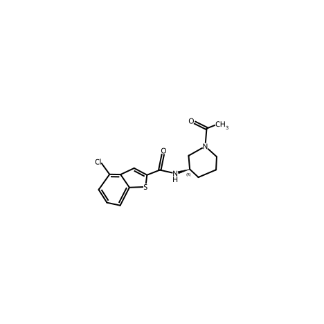 CC(=O)N1CCC[C@@H](NC(=O)c2cc3c(Cl)cccc3s2)C1